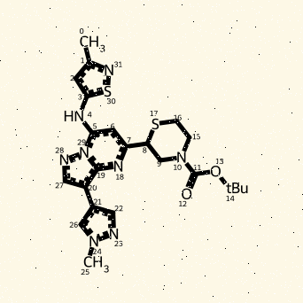 Cc1cc(Nc2cc(C3CN(C(=O)OC(C)(C)C)CCS3)nc3c(-c4cnn(C)c4)cnn23)sn1